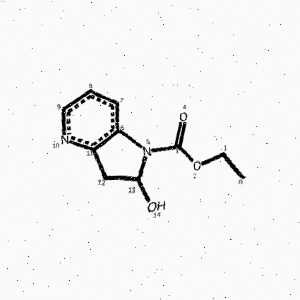 CCOC(=O)N1c2cccnc2CC1O